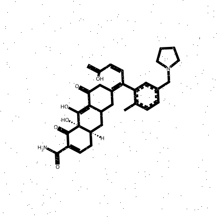 C=C(O)/C=C\C(=C1/CC(=O)C2=C(O)[C@]3(O)C(=O)C(C(N)=O)=CC[C@@H]3CC2C1)c1cc(CN2CCCC2)ccc1C